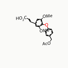 COc1cc(/C=C/C(=O)O)cc(OC)c1Oc1ccc(COC(C)=O)cc1